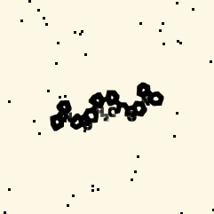 C=C/C(=C\C1=COC2C=CC(n3c4c(c5ccccc53)CCC=C4)=CC12)c1cccc(-c2cccc(C3=Cc4c(oc5c4C=C(n4c6ccccc6c6ccccc64)CC5)CC3)c2)c1